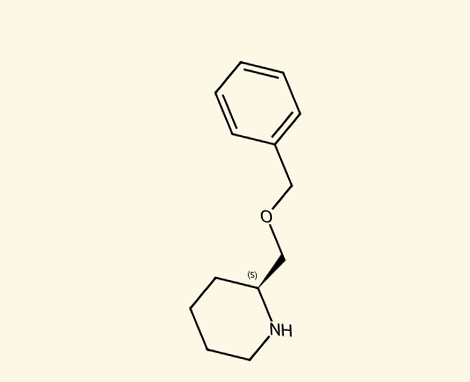 c1ccc(COC[C@@H]2CCCCN2)cc1